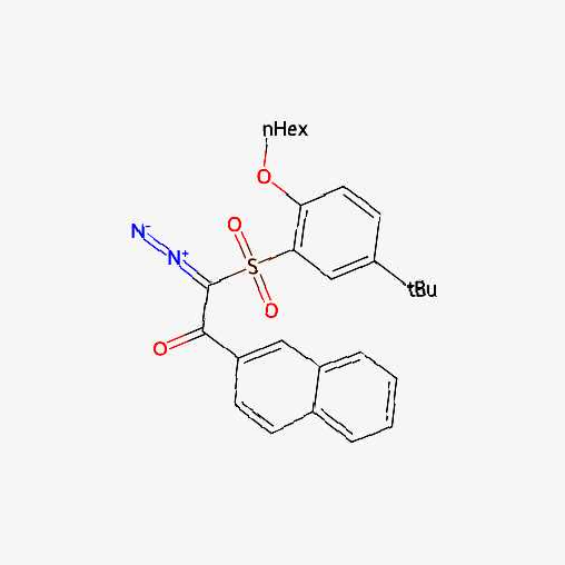 CCCCCCOc1ccc(C(C)(C)C)cc1S(=O)(=O)C(=[N+]=[N-])C(=O)c1ccc2ccccc2c1